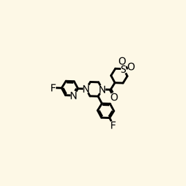 O=C(C1CCS(=O)(=O)CC1)N1CCN(c2ccc(F)cn2)CC1c1ccc(F)cc1